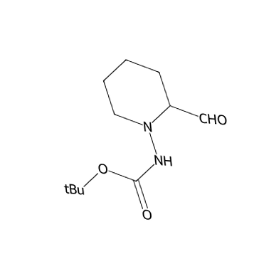 CC(C)(C)OC(=O)NN1CCCCC1C=O